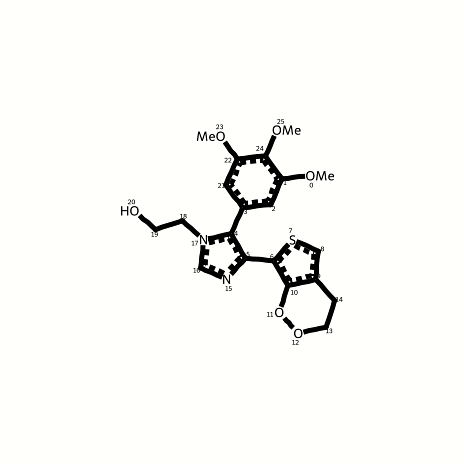 COc1cc(-c2c(-c3scc4c3OOCC4)ncn2CCO)cc(OC)c1OC